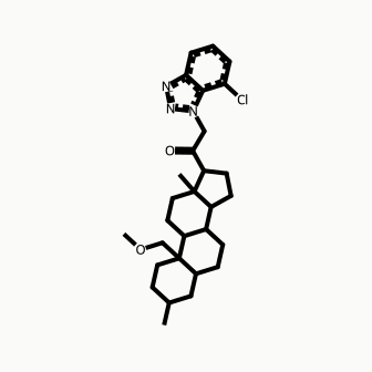 COCC12CCC(C)CC1CCC1C3CCC(C(=O)Cn4nnc5cccc(Cl)c54)C3(C)CCC12